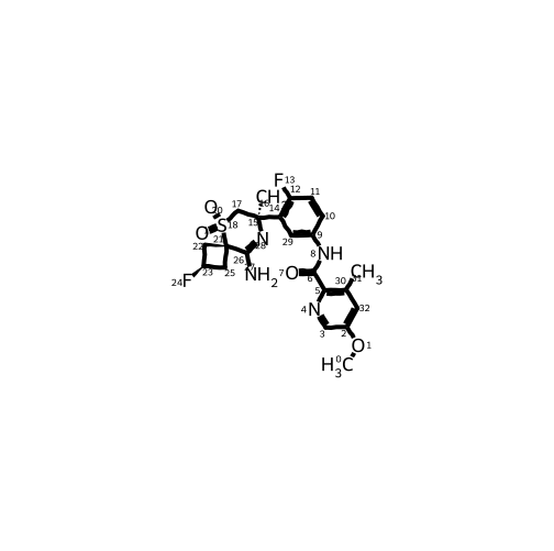 COc1cnc(C(=O)Nc2ccc(F)c([C@]3(C)CS(=O)(=O)[C@]4(C[C@H](F)C4)C(N)=N3)c2)c(C)c1